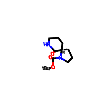 CC(C)(C)OC(=O)N1CCC[C@]12CCCNC2=O